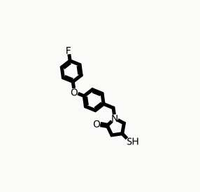 O=C1CC(S)CN1Cc1ccc(Oc2ccc(F)cc2)cc1